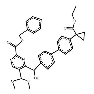 CCOC(=O)C1(c2ccc(-c3ccc(C(O)c4nc(C(=O)OCc5ccccc5)ncc4C(OC)OC)cc3)cc2)CC1